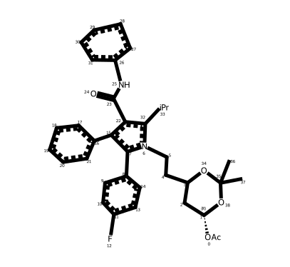 CC(=O)O[C@@H]1CC(CCn2c(-c3ccc(F)cc3)c(-c3ccccc3)c(C(=O)Nc3ccccc3)c2C(C)C)OC(C)(C)O1